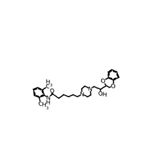 Cc1cccc(C)c1NC(=O)CCCCCN1CCN(CC(O)C2COc3ccccc3O2)CC1